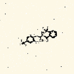 O=C(NC(O)Cc1ncc(C(F)(F)F)cc1Cl)c1ccccc1C(F)(F)F